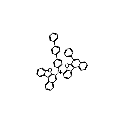 c1ccc(-c2ccc(-c3ccc(N(c4cccc5c4oc4c(-c6ccccc6)cc6ccccc6c45)c4cc5ccccc5c5c4oc4ccccc45)cc3)cc2)cc1